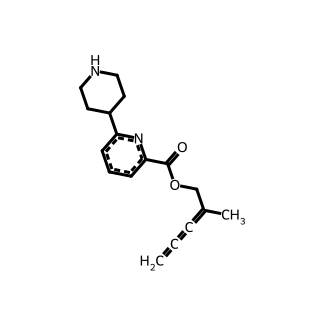 C=C=C=C(C)COC(=O)c1cccc(C2CCNCC2)n1